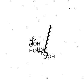 CC(C(=O)O)N(C)C.CCCCCCCCCCCCc1[nH]c(CCO)nc1CC(=O)O